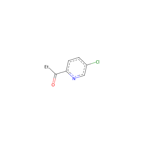 CCC(=O)c1ccc(Cl)cn1